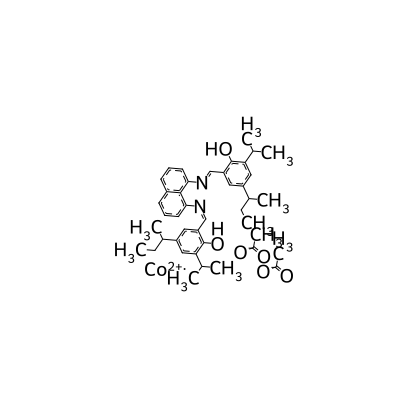 CC(=O)[O-].CC(=O)[O-].CCC(C)c1cc(C=Nc2cccc3cccc(N=Cc4cc(C(C)CC)cc(C(C)C)c4O)c23)c(O)c(C(C)C)c1.[Co+2]